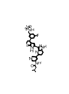 CC(C)CC(=O)Nc1cncc(-c2ccc3[nH]nc(-c4cc5c(-c6cc(F)cc(CNS(C)(=O)=O)c6)ccnc5[nH]4)c3n2)c1